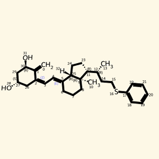 C=C1/C(=C\C=C2/CCC[C@]3(C)[C@@H]([C@H](C)CCSc4ccccc4)CC[C@@H]23)C[C@H](O)C[C@H]1O